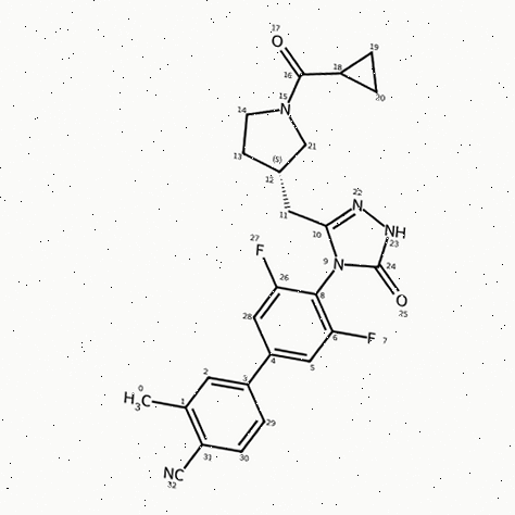 Cc1cc(-c2cc(F)c(-n3c(C[C@@H]4CCN(C(=O)C5CC5)C4)n[nH]c3=O)c(F)c2)ccc1C#N